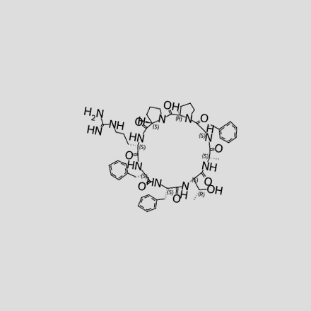 C[C@@H]1NC(=O)[C@H]([C@@H](C)O)NC(=O)[C@H](Cc2ccccc2)NC(=O)[C@H](Cc2ccccc2)NC(=O)[C@H](CCCNC(=N)N)NC(=O)[C@@H]2CCCN2C(=O)[C@H]2CCCN2C(=O)[C@H](Cc2ccccc2)NC1=O